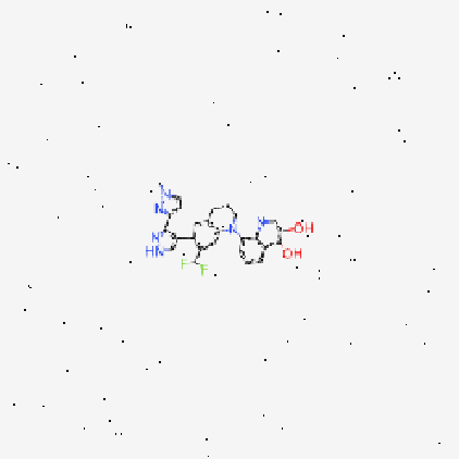 Cn1ccc(-c2n[nH]cc2-c2cc3c(cc2C(F)F)N(c2cccc4c(O)c(O)cnc24)CCC3)n1